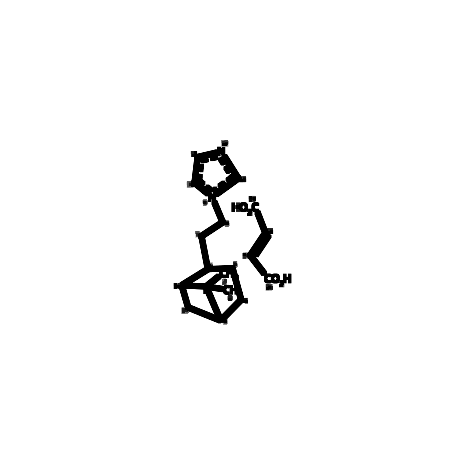 CC1(C)C2CCC(CCn3ccnc3)C1C2.O=C(O)C=CC(=O)O